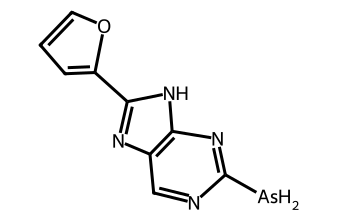 [AsH2]c1ncc2nc(-c3ccco3)[nH]c2n1